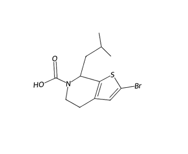 CC(C)CC1c2sc(Br)cc2CCN1C(=O)O